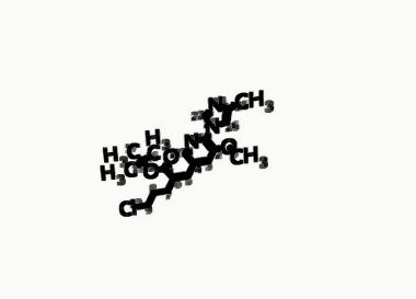 COc1cc(C=C(CCCCl)C(=O)OC(C)(C)C)cnc1-n1cnc(C)c1